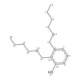 CCCCOCc1cccc(O)c1COCCCC